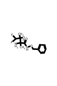 CC(N)(C(=O)NOCc1ccccc1)C(C)(O)C(F)F